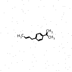 C=C(C)c1ccc(CC=CC)cc1